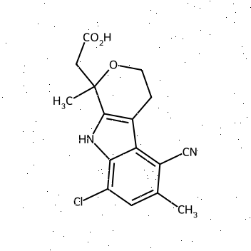 Cc1cc(Cl)c2[nH]c3c(c2c1C#N)CCOC3(C)CC(=O)O